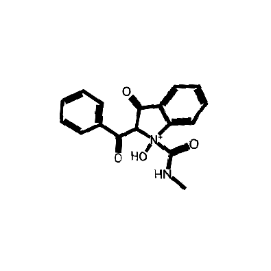 CNC(=O)[N+]1(O)c2ccccc2C(=O)C1C(=O)c1ccccc1